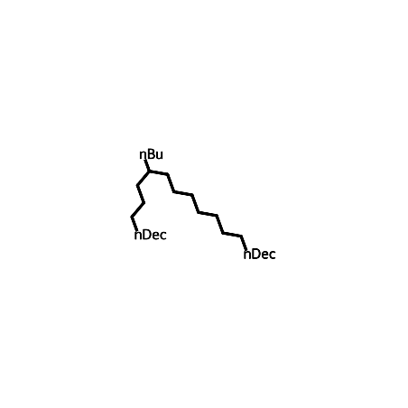 [CH2]CCCC(CCCCCCCCCCCCC)CCCCCCCCCCCCCCCCC